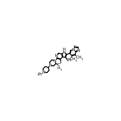 Cc1c(-c2[nH]c3cnc(N4CCN(C5CCN(C(C)C)CC5)CC4C)c(F)c3c2C(C)C)cn2ncnc2c1C